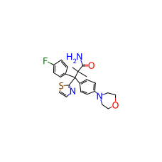 CC(C)(C(N)=O)C(c1ccc(F)cc1)(c1ccc(N2CCOCC2)cc1)c1nccs1